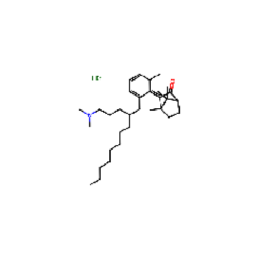 Br.CCCCCCCCC(CCCN(C)C)CC1=CC=CC(C)C1=C1C(=O)C2CCC1(C)C2(C)C